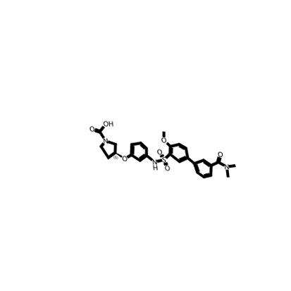 COc1ccc(-c2cccc(C(=O)N(C)C)c2)cc1S(=O)(=O)Nc1cccc(O[C@H]2CCN(C(=O)O)C2)c1